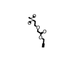 C#CCOC(=O)COCCS(C)(=O)=O